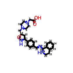 O=C(O)CN1CCN(C[C@H]2CC(c3ccc(C=NC4NCCc5ccccc54)cc3)NO2)CC1